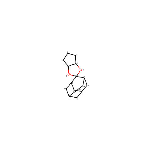 C1CC2OC3(OC2C1)C1CC2CC(C1)CC3C2